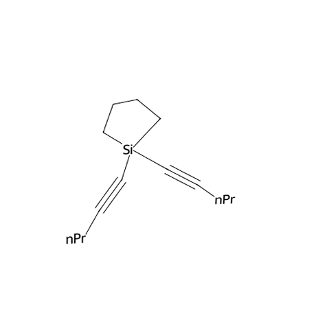 CCCC#C[Si]1(C#CCCC)CCCC1